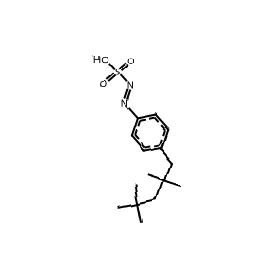 CC(C)(C)CC(C)(C)Cc1ccc(/N=N/S(=O)(=O)O)cc1